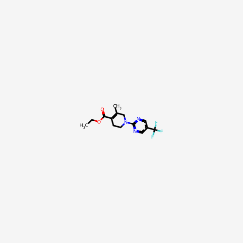 CCOC(=O)C1=C(C)CN(c2ncc(C(F)(F)F)cn2)CC1